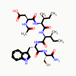 CC[C@H](C)[C@H](NC(=O)[C@H](CC(=O)O)NC(C)=O)C(=O)N[C@H](C(=O)N[C@@H](Cc1c[nH]c2ccccc12)C(=O)N[C@@H](CS)C(N)=O)[C@@H](C)CC